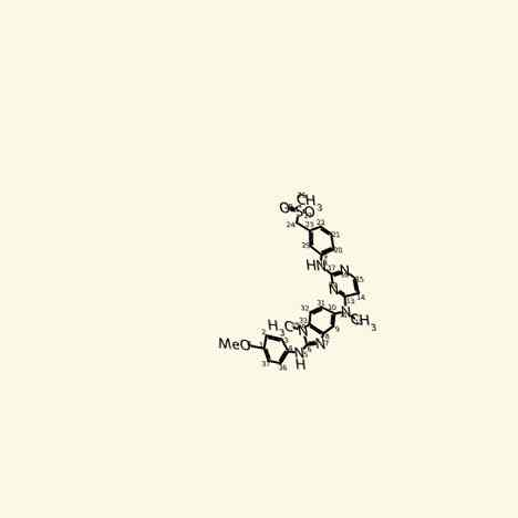 COc1ccc(Nc2nc3cc(N(C)c4ccnc(Nc5cccc(CS(C)(=O)=O)c5)n4)ccc3n2C)cc1